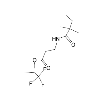 CCC(C)(C)C(=O)NCCC(=O)OC(C)C(F)(F)F